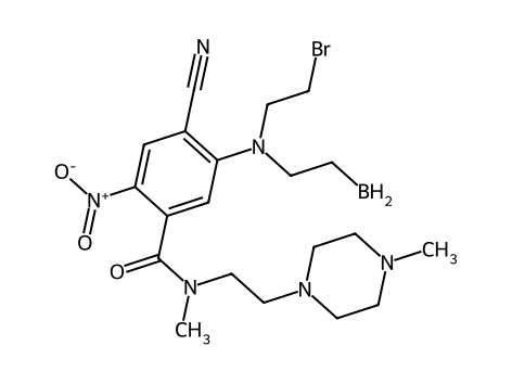 BCCN(CCBr)c1cc(C(=O)N(C)CCN2CCN(C)CC2)c([N+](=O)[O-])cc1C#N